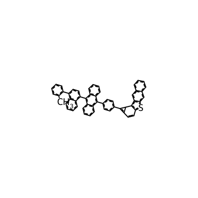 Cc1ccccc1-c1ccc(-c2c3ccccc3c(-c3ccc(C4=C5C=Cc6sc7cc8ccccc8cc7c6C54)cc3)c3ccccc23)c2ccccc12